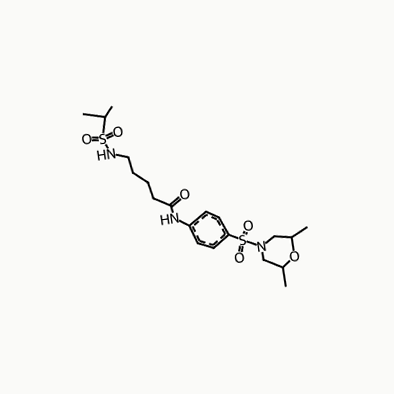 CC1CN(S(=O)(=O)c2ccc(NC(=O)CCCCNS(=O)(=O)C(C)C)cc2)CC(C)O1